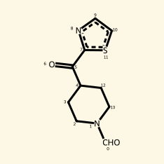 O=CN1CCC(C(=O)c2nccs2)CC1